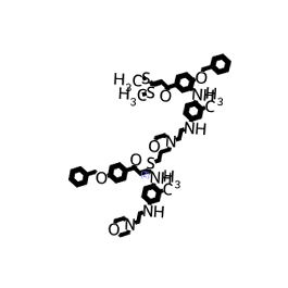 CSC(=CC(=O)c1ccc(OCc2ccccc2)c(Nc2ccc(NCCN3CCOC(CS/C(=C\C(=O)c4ccc(OCc5ccccc5)cc4)Nc4ccc(NCCN5CCOCC5)cc4C)C3)cc2C)c1)SC